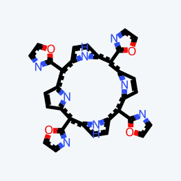 C1=Cc2nc1c(-c1ncco1)c1ccc([nH]1)c(-c1ncco1)c1nc(c(-c3ncco3)c3ccc([nH]3)c2-c2ncco2)C=C1